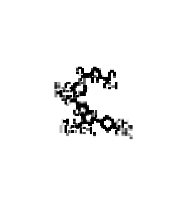 CC1(C)CCC(c2cc(C(C)(C)C)c3oc(C(=O)N4CCN(C(=O)C5CCC(C(=O)O)O5)CC4(C)C)cc3n2)CC1